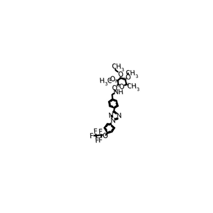 CCO[C@@H]1[C@@H](OC)[C@H](C)O[C@@H](ONCc2ccc(-c3ncn(-c4ccc(OC(F)(F)C(F)(F)F)cc4)n3)cc2)[C@@H]1OC